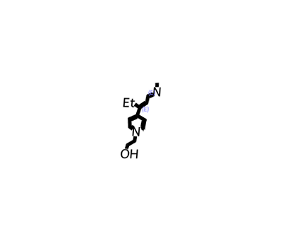 CC/C(=C\C=N\C)c1cc[n+](CCO)cc1